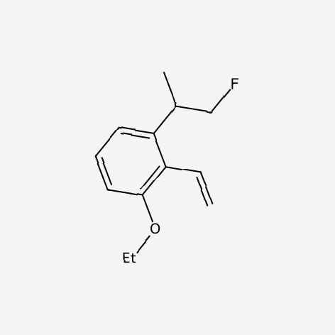 C=Cc1c(OCC)cccc1[C](C)CF